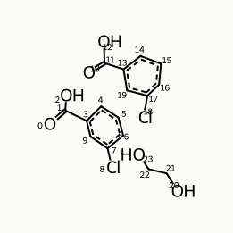 O=C(O)c1cccc(Cl)c1.O=C(O)c1cccc(Cl)c1.OCCO